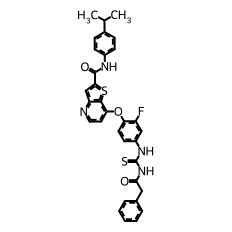 CC(C)c1ccc(NC(=O)c2cc3nccc(Oc4ccc(NC(=S)NC(=O)Cc5ccccc5)cc4F)c3s2)cc1